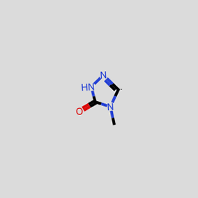 Cn1[c]n[nH]c1=O